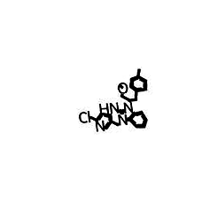 COCC(Cc1ccc(C)cc1)n1c(=N)n(Cc2ccc(Cl)nc2)c2ccccc21